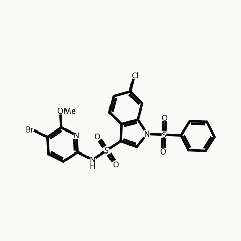 COc1nc(NS(=O)(=O)c2cn(S(=O)(=O)c3ccccc3)c3cc(Cl)ccc23)ccc1Br